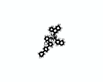 C1=CC2Oc3c(-c4ccc(-c5ccccc5)cc4)cccc3C2C(c2nc(-c3ccc4c(c3)C=CCC4)nc(-c3cc4ccccc4c4ccccc34)n2)=C1